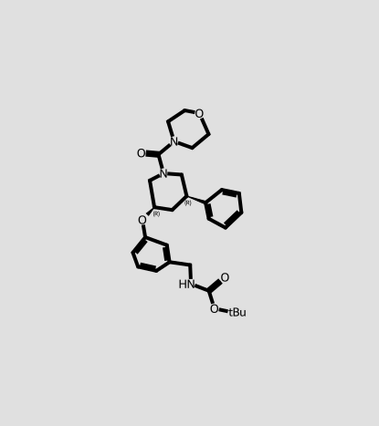 CC(C)(C)OC(=O)NCc1cccc(O[C@@H]2C[C@H](c3ccccc3)CN(C(=O)N3CCOCC3)C2)c1